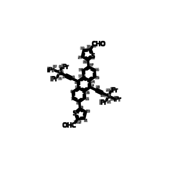 CC(C)[Si](C#Cc1c2ccc(-c3ccc(C=O)s3)cc2c(C#C[Si](C(C)C)(C(C)C)C(C)C)c2ccc(-c3ccc(C=O)s3)cc12)(C(C)C)C(C)C